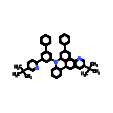 C[Si](C)(C)c1ccc(-c2cc(-c3ccccc3)cc(N(c3cc(-c4ccccc4)cc(-c4ccc([Si](C)(C)C)cn4)c3)c3ccccc3-c3ccccc3)c2)nc1